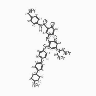 CCCC1CCC(c2ccc(-c3ccc(Sc4cc(N(CC(C)C)CC(C)C)cc5oc6cc(=O)c(C(=O)Nc7ccc(CC(C)C)cc7)cc-6nc45)cc3)cc2)CC1